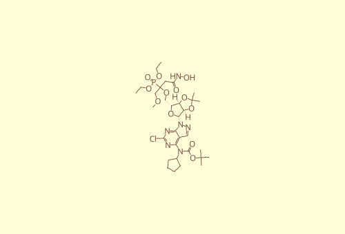 CCOP(=O)(OCC)C(COC)(CC(=O)NO)OC[C@H]1O[C@@H](n2ncc3c(N(C(=O)OC(C)(C)C)C4CCCC4)nc(Cl)nc32)[C@@H]2OC(C)(C)O[C@@H]21